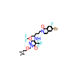 C[Si](C)(C)CCOCn1ncc(NC(CCCn2ccc3cc(Br)c(F)cc3c2=O)COC(F)F)c(C(F)(F)F)c1=O